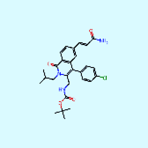 CC(C)Cn1c(CNC(=O)OC(C)(C)C)c(-c2ccc(Cl)cc2)c2cc(C=CC(N)=O)ccc2c1=O